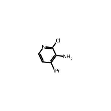 CC(C)c1ccnc(Cl)c1N